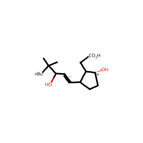 CCCCC(C)(C)C(O)/C=C/C1CC[C@@H](O)C1CC(=O)O